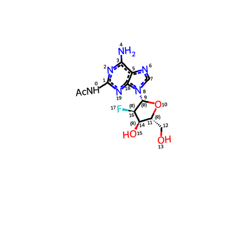 CC(=O)Nc1nc(N)c2ncn([C@@H]3O[C@H](CO)[C@@H](O)[C@H]3F)c2n1